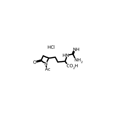 CC(=O)N1C(=O)CC1CCC(NC(=N)N)C(=O)O.Cl